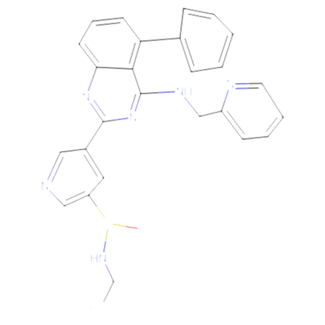 CCOC(=O)CN[S+]([O-])c1cncc(-c2nc(NCc3ccccn3)c3c(-c4ccccc4)cccc3n2)c1